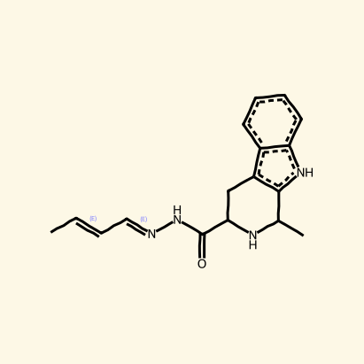 C/C=C/C=N/NC(=O)C1Cc2c([nH]c3ccccc23)C(C)N1